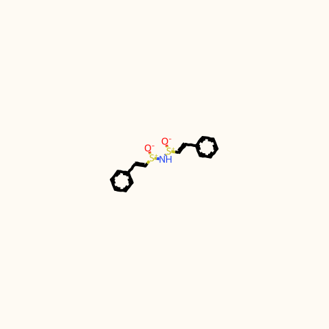 [O-][S+](/C=C/c1ccccc1)N[S+]([O-])/C=C/c1ccccc1